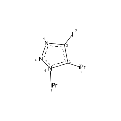 CC(C)c1c(I)nnn1C(C)C